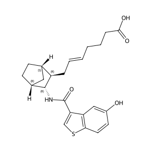 O=C(O)CCCC=CC[C@@H]1[C@H]2CC[C@H](C2)[C@H]1NC(=O)c1csc2ccc(O)cc12